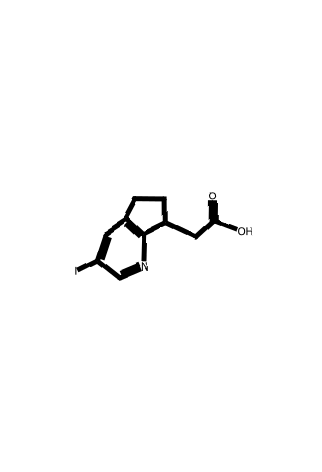 O=C(O)CC1CCc2cc(I)cnc21